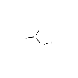 [SiH3][SiH2]P(Cl)Cl